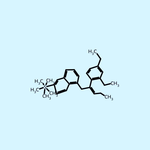 CC/C=C(/Cc1cccc2cc(S(C)(C)(C)(C)C)ccc12)c1ccc(CC)cc1CC